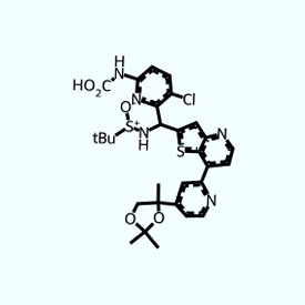 CC1(C)OCC(C)(c2ccnc(-c3ccnc4cc(C(N[S+]([O-])C(C)(C)C)c5nc(NC(=O)O)ccc5Cl)sc34)c2)O1